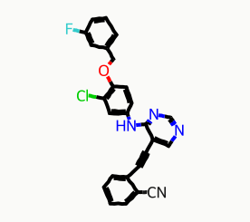 N#Cc1ccccc1C#Cc1cncnc1Nc1ccc(OCc2cccc(F)c2)c(Cl)c1